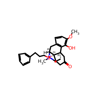 COc1ccc2c(c1O)[C@]13CCN(C)[C@H](C2)[C@]1(OCCCc1ccccc1)CCC(=O)C3